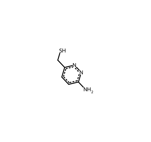 Nc1ccc(CS)nn1